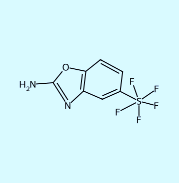 Nc1nc2cc(S(F)(F)(F)(F)F)ccc2o1